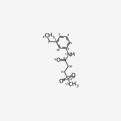 CCc1cccc(NC(=O)CCS(C)(=O)=O)c1